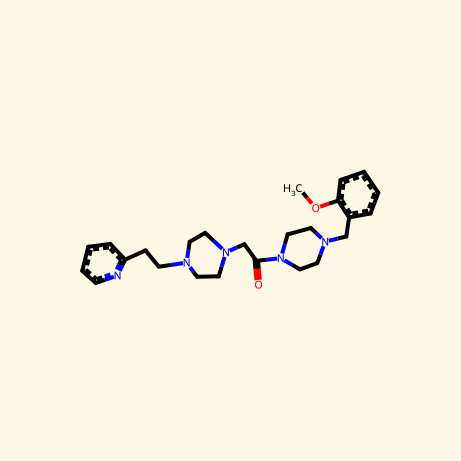 COc1ccccc1CN1CCN(C(=O)CN2CCN(CCc3ccccn3)CC2)CC1